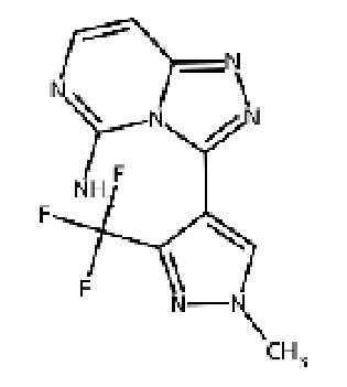 Cn1cc(-c2nnc3ccnc(N)n23)c(C(F)(F)F)n1